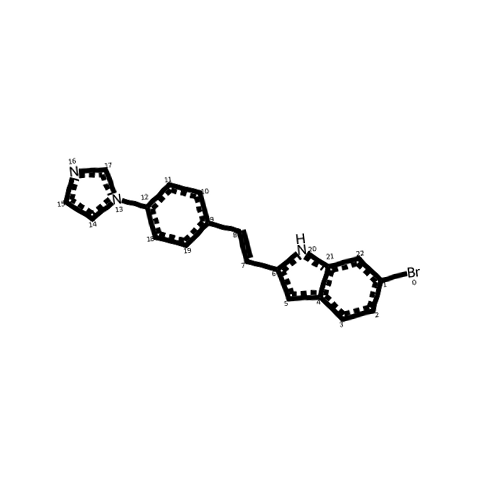 Brc1ccc2cc(C=Cc3ccc(-n4ccnc4)cc3)[nH]c2c1